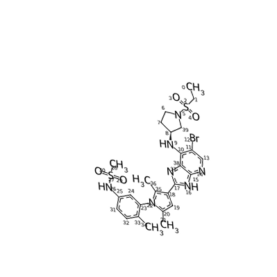 CCS(=O)(=O)N1CC[C@H](Nc2c(Br)cnc3[nH]c(-c4cc(C)n(-c5cc(NS(C)(=O)=O)ccc5C)c4C)nc23)C1